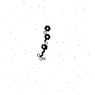 O=C(O)CCCC12CCC(OCc3cccc(Oc4ccccc4)c3)(CC1)C2